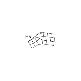 SC12C3CC45CC16C17CC89C(C1C1CC3C127)C1C2CC3C7CC%10C4C4(C7%10C32C184)C596